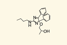 CCCCNC1=NC(OCC(C)O)(c2ccccc2)C(c2ccccc2)=N1